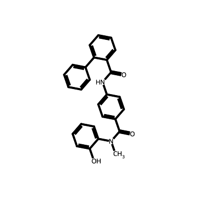 CN(C(=O)c1ccc(NC(=O)c2ccccc2-c2ccccc2)cc1)c1ccccc1O